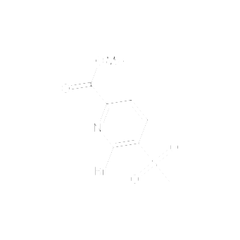 COC(=O)c1ccc(S(C)(=O)=O)c(Br)n1